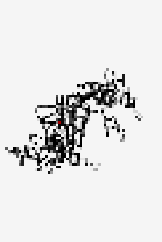 CC(C)[C@@H](C)[C@@]1(C)CC[C@]2(C)[C@H]3CC[C@@H]4[C@@]5(COC[C@@]4(C)[C@@H](OC[C@](C)(N)C(C)C)[C@H](n4ncnc4C(=O)N(C)C)C5)C3=CC[C@]2(C)[C@@H]1OC(=O)O